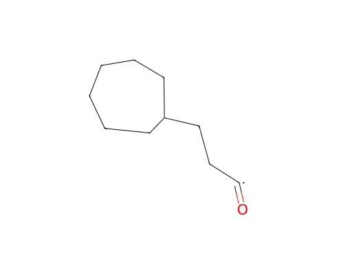 O=[C]CCC1CCCCCC1